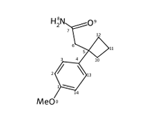 COc1ccc(C2(CC(N)=O)CCC2)cc1